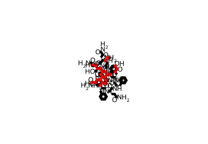 CC(=O)N[C@@H](CCC(N)=O)C(=O)N[C@@H](CC(=O)O)C(=O)N[C@@H](Cc1ccc(O)cc1)C(=O)N[C@@H](CCC(N)=O)C(=O)N[C@@H](Cc1ccccc1)C(=O)N[C@@H](CCC(N)=O)C(=O)N[C@@H](Cc1ccccc1)C(=O)N[C@@H](CCC(N)=O)C(=O)N[C@@H](Cc1ccc(O)cc1)C(=O)N[C@@H](CCCCN)C(=O)N[C@@H](CCC(N)=O)C(=O)O